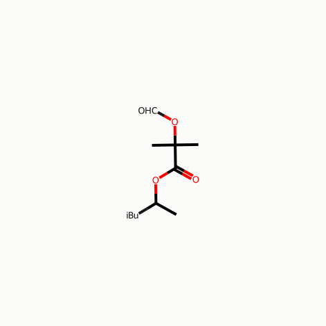 CCC(C)C(C)OC(=O)C(C)(C)OC=O